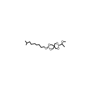 COC(C)P1OCC2(COP(OCCCCCCCC(C)C)OC2)CO1